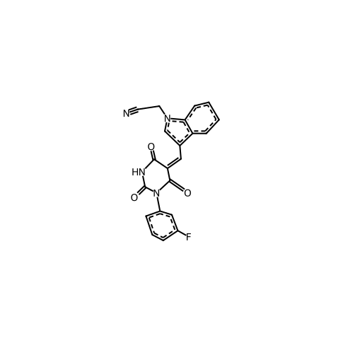 N#CCn1cc(C=C2C(=O)NC(=O)N(c3cccc(F)c3)C2=O)c2ccccc21